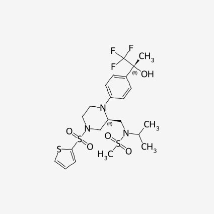 CC(C)N(C[C@H]1CN(S(=O)(=O)c2cccs2)CCN1c1ccc([C@@](C)(O)C(F)(F)F)cc1)S(C)(=O)=O